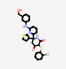 O=C1CC(c2ccsc2)(c2cccc(Nc3cccc(CO)c3)n2)NC(=O)C1Sc1ccccc1Cl